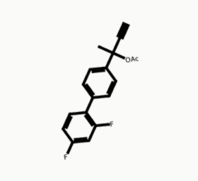 C#CC(C)(OC(C)=O)c1ccc(-c2ccc(F)cc2F)cc1